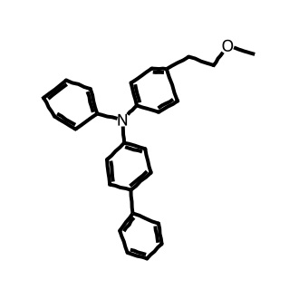 COCCc1ccc(N(c2ccccc2)c2ccc(-c3ccccc3)cc2)cc1